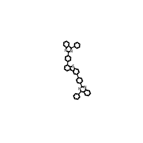 c1ccc(-c2nc(-c3ccc(-c4ccc5sc6c(-c7ccc(-c8nc(-c9ccccc9)c9ccccc9n8)cc7)cccc6c5c4)cc3)nc3ccccc23)cc1